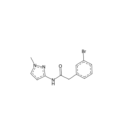 Cn1ccc(NC(=O)Cc2cccc(Br)c2)n1